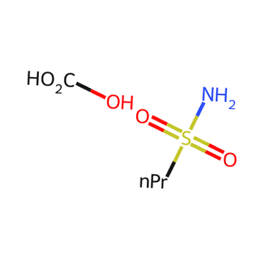 CCCS(N)(=O)=O.O=C(O)O